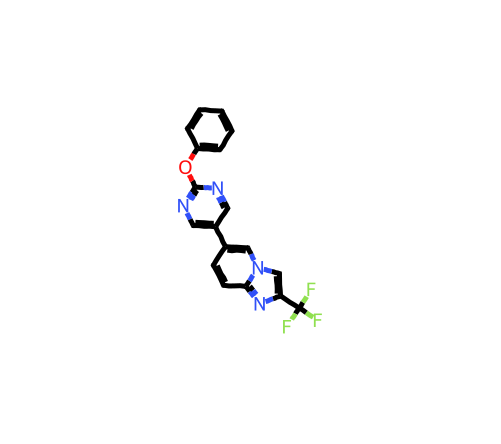 FC(F)(F)c1cn2cc(-c3cnc(Oc4ccccc4)nc3)ccc2n1